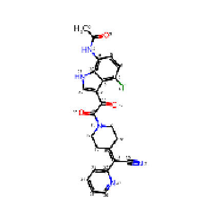 CC(=O)Nc1ccc(F)c2c(C(=O)C(=O)N3CCC(=C(C#N)c4ccccn4)CC3)c[nH]c12